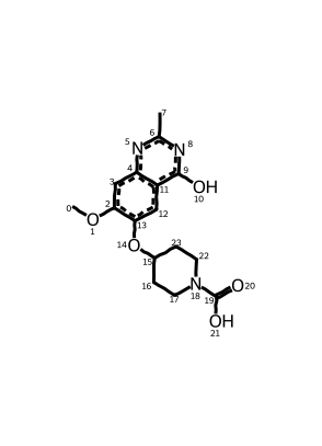 COc1cc2nc(C)nc(O)c2cc1OC1CCN(C(=O)O)CC1